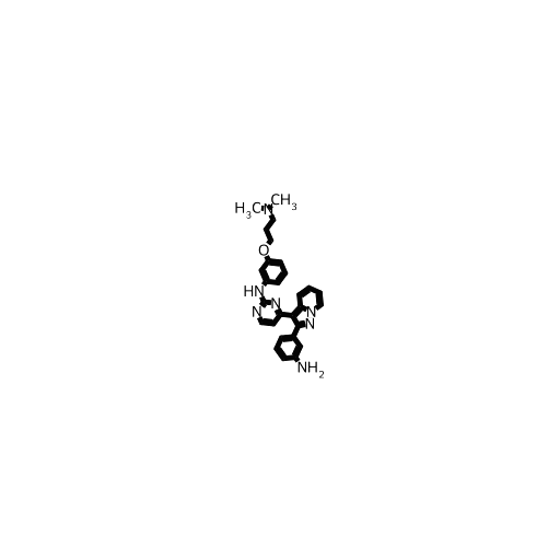 CN(C)CCCOc1cccc(Nc2nccc(-c3c(-c4cccc(N)c4)nn4ccccc34)n2)c1